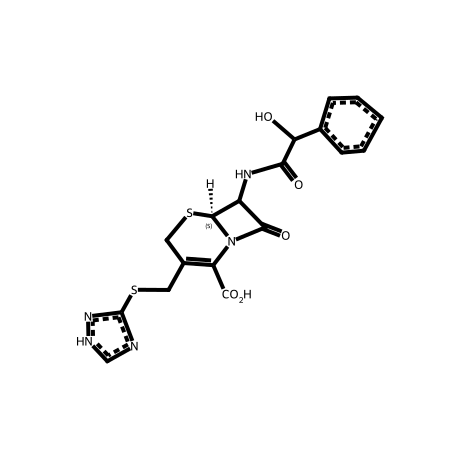 O=C(O)C1=C(CSc2nc[nH]n2)CS[C@H]2C(NC(=O)C(O)c3ccccc3)C(=O)N12